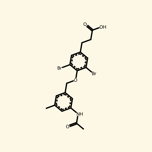 CC(=O)Nc1cc(C)cc(COc2c(Br)cc(CCC(=O)O)cc2Br)c1